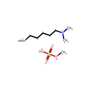 CCCCCCCCCCCCCCN(C)C.COS(=O)(=O)O